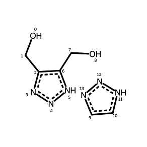 OCc1nn[nH]c1CO.c1c[nH]nn1